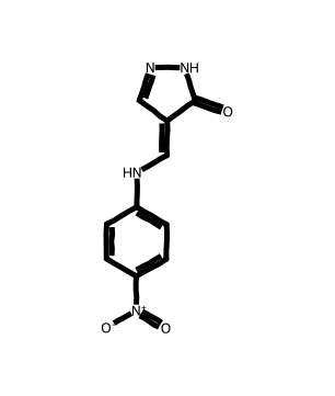 O=C1NN=CC1=CNc1ccc([N+](=O)[O-])cc1